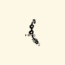 COc1cc(C)c(S(=O)(=O)N(C)CCC(=O)Nc2ccc(-c3ccc(CN4CCCC4)cc3)cc2)c(C)c1